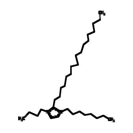 CCCCCCCCCCCCCCCCCc1n(CCCC)cc[n+]1CCCCCCCC